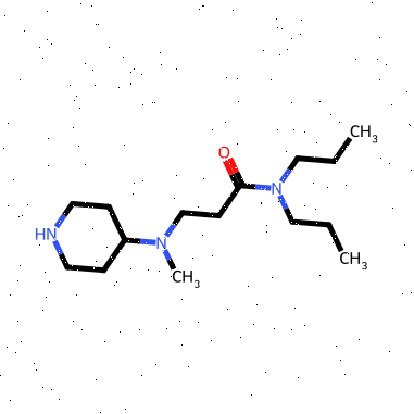 CCCN(CCC)C(=O)CCN(C)C1CCNCC1